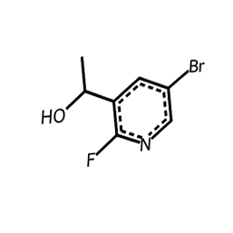 CC(O)c1cc(Br)cnc1F